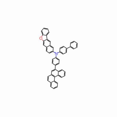 c1ccc(-c2ccc(N(c3ccc(-c4cc5ccc6ccccc6c5c5ccccc45)cc3)c3ccc4cc5oc6ccccc6c5cc4c3)cc2)cc1